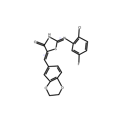 O=C1N/C(=N/c2cc(F)ccc2Cl)S/C1=C\c1ccc2c(c1)OCCO2